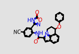 N#Cc1ccc(NC(=O)c2cc3cccc4c3n2CCC4Oc2ccccc2)c(-c2noc(=O)[nH]2)c1